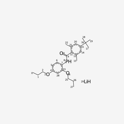 CCCOc1ccc(PC(=O)c2c(C)cc(C(C)(C)C)cc2C)c(OCCC)c1.[LiH]